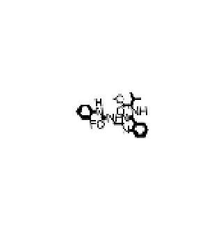 COC(=O)[C@@H](Nc1nc(CNC(=O)Nc2ccccc2F)nc2ccccc12)C(C)C